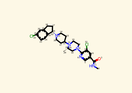 CNC(=O)c1cnc(N2CCN(C3CCN([C@H]4CCc5cc(Cl)ccc54)CC3)[C@@H](C)C2)c(Cl)c1